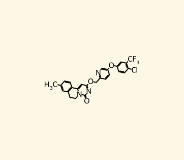 Cc1ccc2c(c1)CCn1c-2cc(OCc2ccc(Oc3ccc(Cl)c(C(F)(F)F)c3)cn2)nc1=O